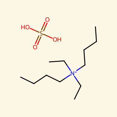 CCCC[N+](CC)(CC)CCCC.O=S(=O)(O)O